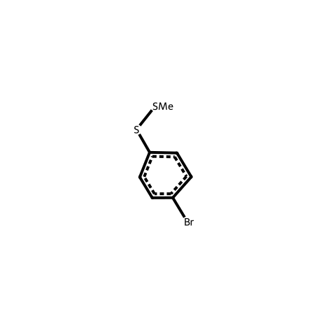 CSSc1ccc(Br)cc1